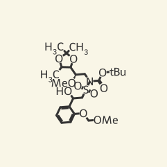 COCOc1ccccc1C(O)CS(=O)(=O)N(C[C@@H](OC)C1OC(C)(C)OC1C)C(=O)OC(C)(C)C